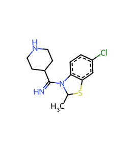 CC1Sc2cc(Cl)ccc2N1C(=N)C1CCNCC1